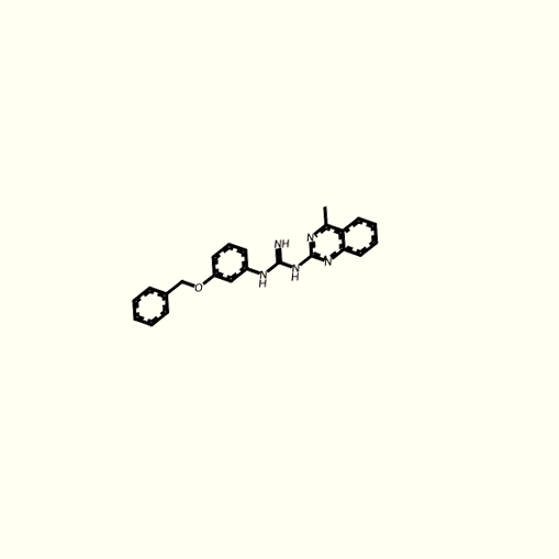 Cc1nc(NC(=N)Nc2cccc(OCc3ccccc3)c2)nc2ccccc12